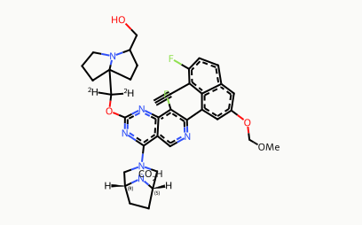 [2H]C([2H])(Oc1nc(N2C[C@H]3CC[C@@H](C2)N3C(=O)O)c2cnc(-c3cc(OCOC)cc4ccc(F)c(C#C)c34)c(F)c2n1)C12CCCN1C(CO)CC2